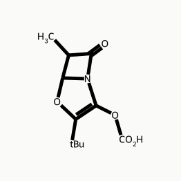 CC1C(=O)N2C(OC(=O)O)=C(C(C)(C)C)OC12